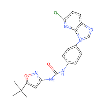 CC(C)(C)c1cc(NC(=O)Nc2ccc(-n3cnc4ccc(Cl)nc43)cc2)no1